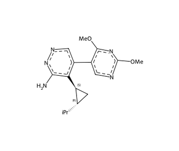 COc1ncc(-c2cnnc(N)c2[C@H]2C[C@@H]2C(C)C)c(OC)n1